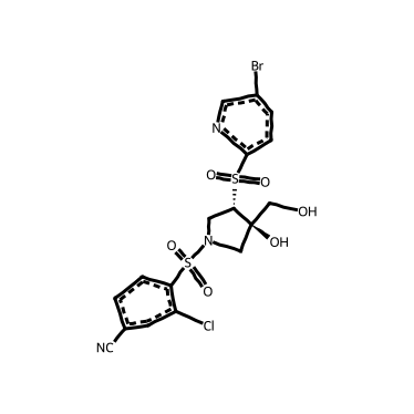 N#Cc1ccc(S(=O)(=O)N2C[C@H](S(=O)(=O)c3ccc(Br)cn3)[C@](O)(CO)C2)c(Cl)c1